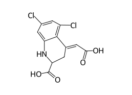 O=C(O)C=C1CC(C(=O)O)Nc2cc(Cl)cc(Cl)c21